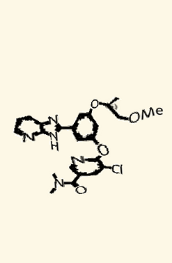 COC[C@H](C)Oc1cc(Oc2ncc(C(=O)N(C)C)cc2Cl)cc(-c2nc3cccnc3[nH]2)c1